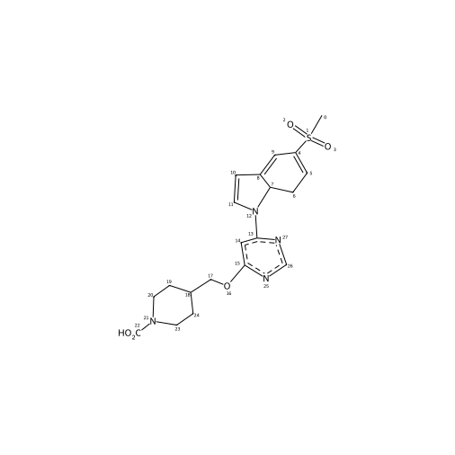 CS(=O)(=O)C1=CCC2C(=C1)C=CN2c1cc(OCC2CCN(C(=O)O)CC2)ncn1